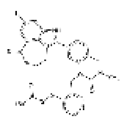 CN(Cc1ccc(-c2[nH]c3cc(F)cc4c3c2CCNC4=O)cc1)C(=O)OCc1ccccc1SSC(=O)C(C)(C)C